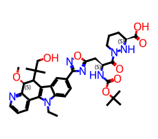 CCn1c2c(c3cc(-c4noc(C[C@H](NC(=O)OC(C)(C)C)C(=O)N5CCC[C@@H](C(=O)O)N5)n4)ccc31)C(C(C)(C)CO)[C@H](OC)c1ncccc1-2